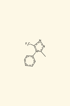 Cc1nnc(C(F)(F)F)n1-c1ccccc1